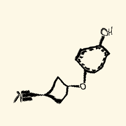 N#C[C@H]1C[C@@H](Oc2ccc(O)cc2)C1